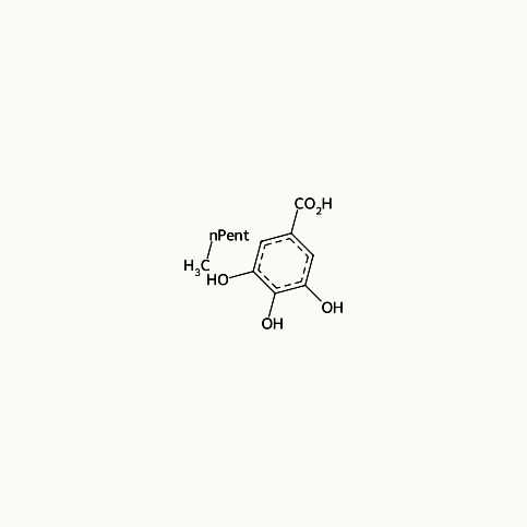 CCCCCC.O=C(O)c1cc(O)c(O)c(O)c1